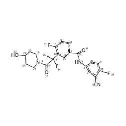 N#Cc1cc(NC(=O)c2ccc(F)c(C(F)(F)C(=O)N3CCC(O)CC3)c2)ccc1F